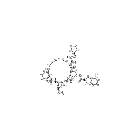 C=C[C@@H]1C[C@@]12NC(=O)[C@@H]1C[C@@H](OC(=O)N3Cc4cccc(F)c4C3)CN1C(=O)[C@@H](NC(=O)OC1CCCC1)CCCCCCNc1ccccc1S(=O)(=O)NC2=O